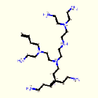 C=CCCN(CCN)CCN(CCNCCN(CCN)CCN)CC/C(=C\CCN)CCN